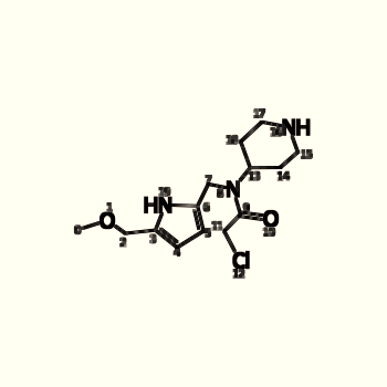 COCc1ccc(CN(C(=O)CCl)C2CCNCC2)[nH]1